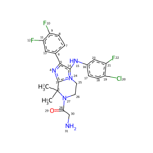 CC1(C)c2nc(-c3ccc(F)c(F)c3)c(Nc3ccc(Cl)c(F)c3)n2CCN1C(=O)CN